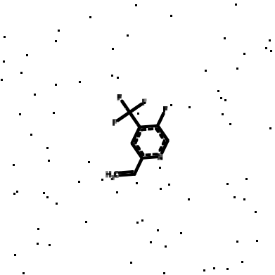 C=Cc1cc(C(F)(F)F)c(F)cn1